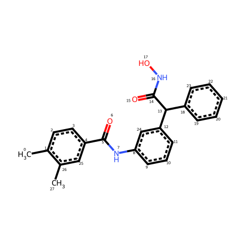 Cc1ccc(C(=O)Nc2cccc(C(C(=O)NO)c3ccccc3)c2)cc1C